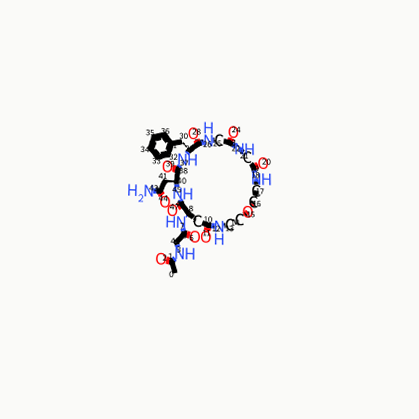 CC(=O)NCC(=O)N[C@H]1CC(=O)NCCOCCNC(=O)CNC(=O)CNC(=O)[C@@H](Cc2ccccc2)NC(=O)[C@H](CC(N)=O)NC1=O